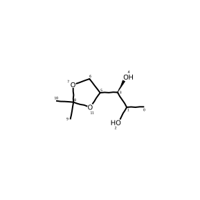 CC(O)[C@H](O)C1COC(C)(C)O1